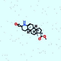 COC(=O)[C@H]1CC[C@H]2[C@@H]3CC=C4NC(=C=O)CC[C@]4(C)[C@H]3CC[C@]12C